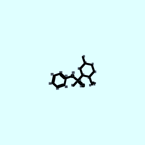 CC1CCC(C(C)C)C(P(C)(=O)Oc2ccccc2)C1